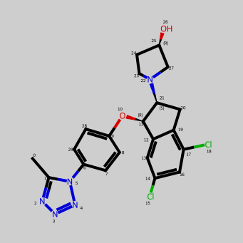 Cc1nnnn1-c1ccc(O[C@@H]2c3cc(Cl)cc(Cl)c3C[C@@H]2N2CC[C@@H](O)C2)cc1